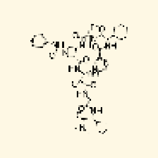 CCC[C@H](NC(=O)[C@@H]1CN(C(=O)Nc2ccccc2)C[C@@H]1NC(=O)[C@@H](NC(=O)[C@@H](NC(=O)c1cnccn1)C1CCCCC1)C(C)C)C(=O)C(=O)NCC(=O)N[C@H](C(=O)N(C)C)C1CCCC1